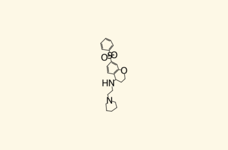 O=S(=O)(c1ccccc1)c1ccc2c(c1)OCCC2NCCN1CCCCC1